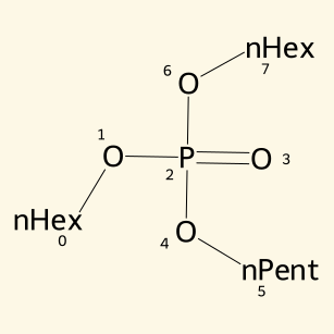 CCCCCCOP(=O)(OCCCCC)OCCCCCC